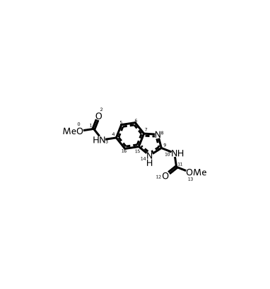 COC(=O)Nc1ccc2nc(NC(=O)OC)[nH]c2c1